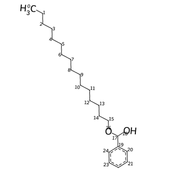 CCCCCCCCCCCCCCCCOC(O)c1ccccc1